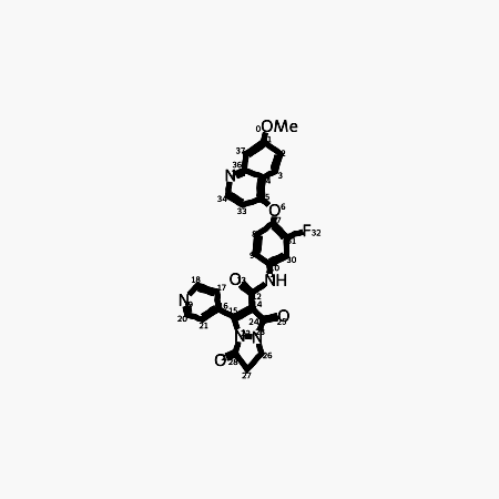 COc1ccc2c(Oc3ccc(NC(=O)c4c(-c5ccncc5)n5n(c4=O)CCC5=O)cc3F)ccnc2c1